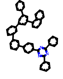 c1ccc(-c2cc(-c3cccc(-c4cccc(-c5ccc(-c6nc(-c7ccccc7)nc(-c7ccccc7)n6)cc5)c4)c3)cc(-c3cccc4ccccc34)c2)cc1